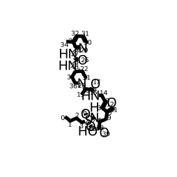 CCCCS(=O)(=O)NC(Cc1coc(CNC(=O)C(C)N2CCC(NC(=O)Nc3ncccc3C)CC2)c1)C(=O)O